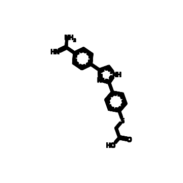 N=C(N)c1ccc(-c2c[nH]c(-c3ccc(SCC(=O)O)cc3)n2)cc1